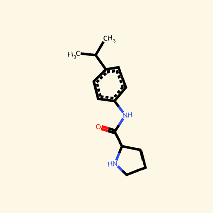 CC(C)c1ccc(NC(=O)C2CCCN2)cc1